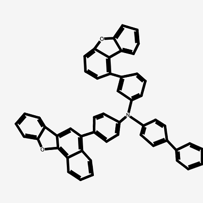 c1ccc(-c2ccc(N(c3ccc(-c4cc5c6ccccc6oc5c5ccccc45)cc3)c3cccc(-c4cccc5oc6ccccc6c45)c3)cc2)cc1